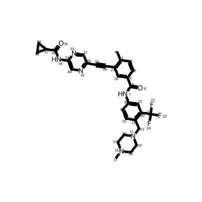 Cc1ccc(C(=O)Nc2ccc(CN3CCN(C)CC3)c(C(F)(F)F)c2)cc1C#Cc1cnc(NC(=O)C2CC2)cn1